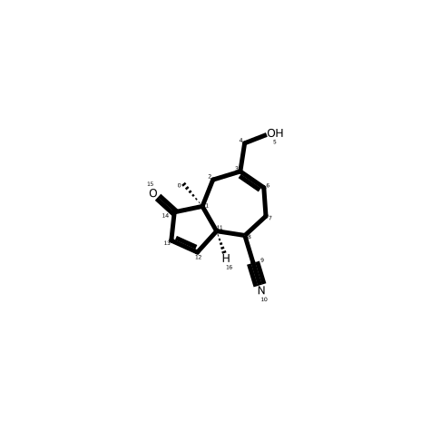 C[C@]12CC(CO)=CCC(C#N)[C@H]1C=CC2=O